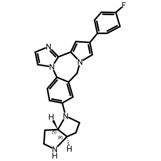 Fc1ccc(-c2cc3n(c2)Cc2cc(N4CC[C@H]5NCC[C@@H]54)ccc2-n2ccnc2-3)cc1